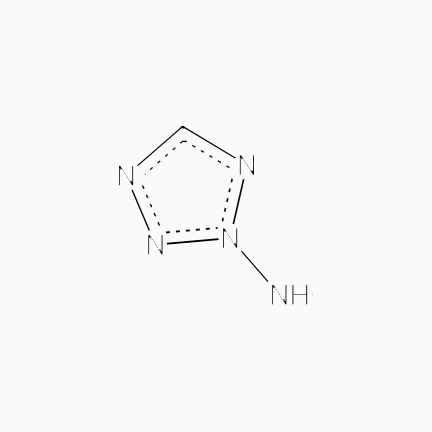 [NH]n1ncnn1